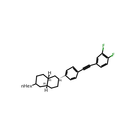 CCCCCCC1CC[C@@H]2C[C@H](c3ccc(C#Cc4ccc(F)c(F)c4)cc3)CC[C@@H]2C1